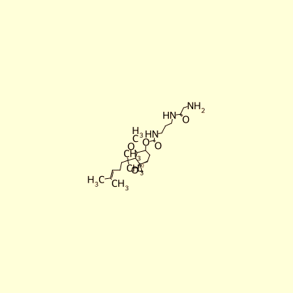 COC1C(OC(=O)NCCCNC(=O)CN)CC[C@]2(CO2)C1C(C)(C)CCC=C(C)C